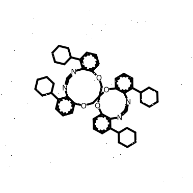 C1=Nc2c(cccc2C2CCCCC2)OCC2(COc3cccc(C4CCCCC4)c3N=1)Oc1cccc(C3CCCCC3)c1N=C=Nc1c(cccc1C1CCCCC1)O2